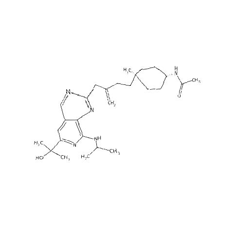 C=C(CC[C@]1(C)CC[C@@H](NC(C)=O)CC1)Cc1ncc2cc(C(C)(C)O)nc(NC(C)C)c2n1